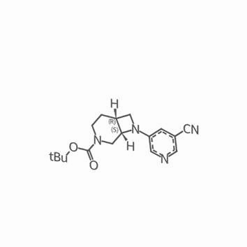 CC(C)(C)OC(=O)N1CC[C@@H]2CN(c3cncc(C#N)c3)[C@@H]2C1